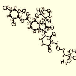 C[Si](C)(C)CCOCN1C(=O)CCC(n2c(=O)n3c4c(c(C(=O)Oc5c(Cl)cc(Cl)cc5Cl)ccc42)O[C@@H]2COC[C@@H]23)C1=O